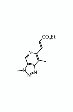 CCOC(=O)/C=C/c1ncc2c(nnn2C)c1C